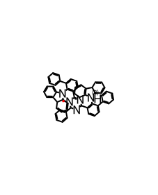 CN1C(c2cccc(-c3ccccc3)c2N2c3ccccc3C3C=CC=CC32)=NC(c2cccc(-c3ccccc3)c2N2C3=C(C=CCC3)C3C=CC=C[C@H]32)=NC1c1ccccc1